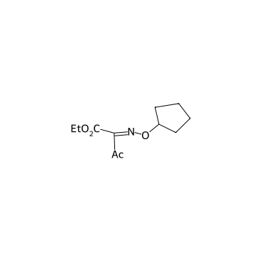 CCOC(=O)C(=NOC1CCCC1)C(C)=O